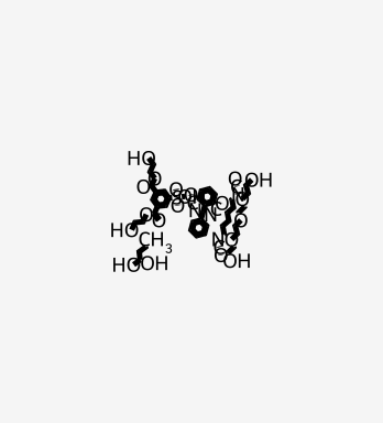 CCCC(O)O.O=C(OCCO)c1cc(C(=O)OCCO)cc(S(=O)(=O)O)c1.O=C=NC(N=C=O)(c1ccccc1)c1ccccc1.O=C=NCCCCCCN=C=O.OCCOCCOCCOCCO